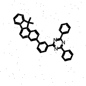 CC1(C)c2ccccc2-c2ccc3cc(-c4cccc(-c5nc(-c6ccccc6)nc(-c6ccccc6)n5)c4)ccc3c21